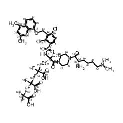 CC[C@@](C)(NS(=O)(=O)c1ccc(Cl)c(COc2cccc3c(C)cc(C)nc23)c1Cl)C(=O)N1CCN(C(=O)[C@@H](N)CCCCN(C)C)CC1.O=C(O)C(F)(F)F.O=C(O)C(F)(F)F.O=C(O)C(F)(F)F